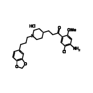 COc1cc(N)c(Cl)cc1C(=O)CCC1CCN(CCCc2ccc3c(c2)OCO3)CC1.Cl